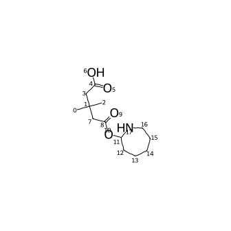 CC(C)(CC(=O)O)CC(=O)OC1CCCCCN1